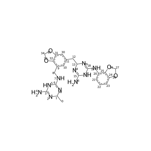 CC1N=C(N)NC(NCc2cc(CC3N=C(N)NC(Nc4cccc5c4OCO5)=N3)cc3c2OCO3)=N1